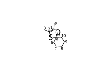 CC1=C(C)SC2(CCCCC2)O1